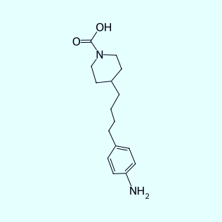 Nc1ccc(CCCCC2CCN(C(=O)O)CC2)cc1